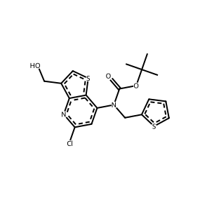 CC(C)(C)OC(=O)N(Cc1cccs1)c1cc(Cl)nc2c(CO)csc12